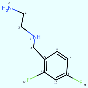 NCCNCc1ccc(F)cc1F